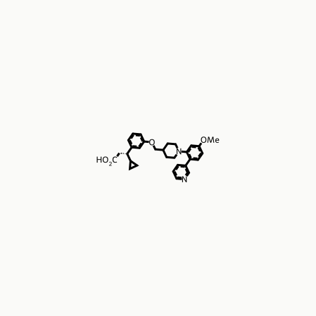 COc1ccc(-c2cccnc2)c(N2CCC(COc3cccc([C@@H](CC(=O)O)C4CC4)c3)CC2)c1